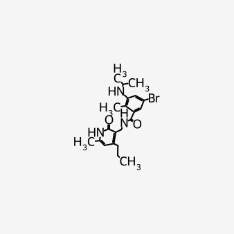 CCCc1cc(C)[nH]c(=O)c1CNC(=O)c1cc(Br)cc(NC(C)C)c1C